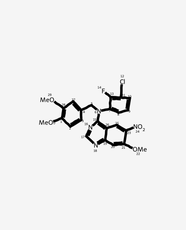 COc1ccc(CN(c2cccc(Cl)c2F)c2ncnc3cc(OC)c([N+](=O)[O-])cc23)cc1OC